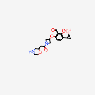 O=Cc1c(OC2CN(C(=O)CC3CNCCO3)C2)ccc2c1OBC1CC21